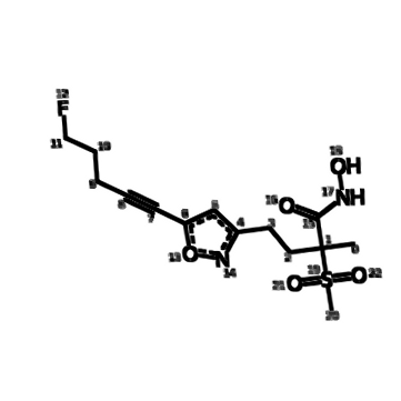 CC(CCc1cc(C#CCCCF)on1)(C(=O)NO)S(C)(=O)=O